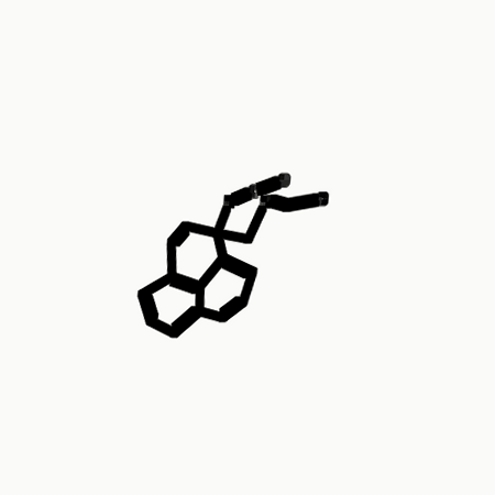 O=C=NCC1(N=C=O)C=Cc2cccc3cccc1c23